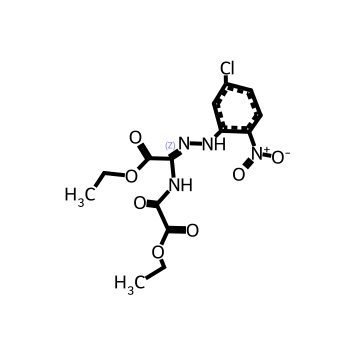 CCOC(=O)C(=O)N/C(=N\Nc1cc(Cl)ccc1[N+](=O)[O-])C(=O)OCC